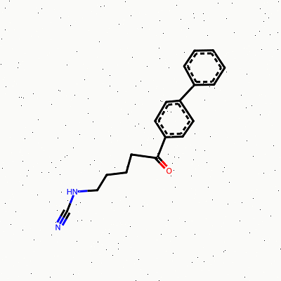 N#CNCCCCC(=O)c1ccc(-c2ccccc2)cc1